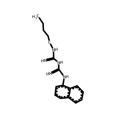 CCCCCNC(=N)NC(=N)Nc1cccc2ccccc12